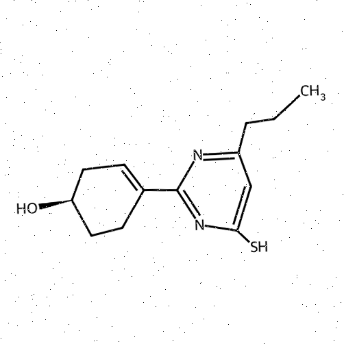 CCCc1cc(S)nc(C2=CC[C@H](O)CC2)n1